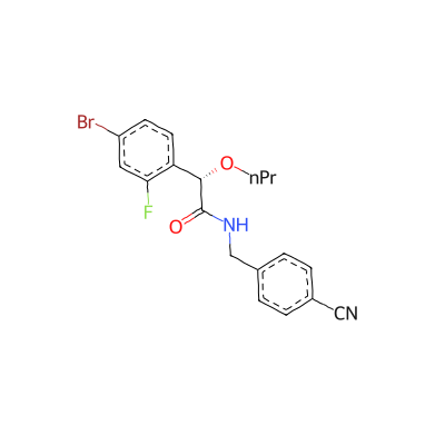 CCCO[C@H](C(=O)NCc1ccc(C#N)cc1)c1ccc(Br)cc1F